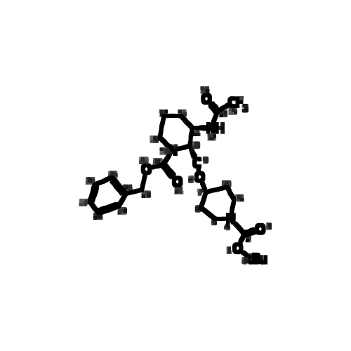 CC(C)(C)OC(=O)N1CCC(OC[C@@H]2[C@H](NC(=O)C(F)(F)F)CCCN2C(=O)OCc2ccccc2)CC1